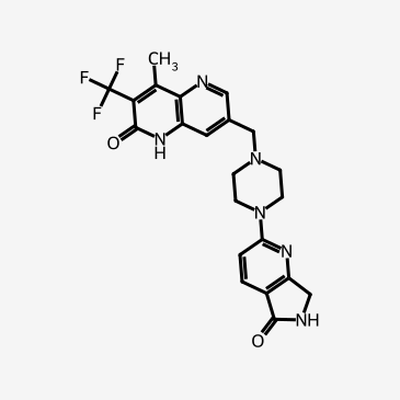 Cc1c(C(F)(F)F)c(=O)[nH]c2cc(CN3CCN(c4ccc5c(n4)CNC5=O)CC3)cnc12